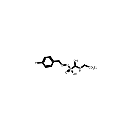 CCOC(=O)CNC(O)P(=O)(O)OOCc1ccc(Cl)cc1